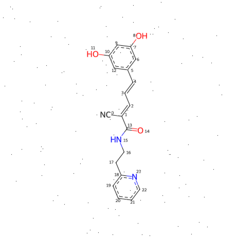 N#C/C(=C\C=C\c1cc(O)cc(O)c1)C(=O)NCCc1ccccn1